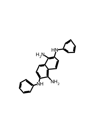 Nc1c(Nc2ccccc2)ccc2c(N)c(Nc3ccccc3)ccc12